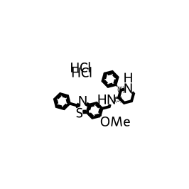 COc1cc2sc(-c3ccccc3)nc2cc1CN[C@H]1CCCN[C@H]1c1ccccc1.Cl.Cl